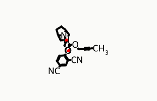 CC#CCOC(=O)N1CC2CCC(C1)N2CCOc1ccc(C#N)cc1C#N